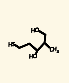 CC(CO)C(O)CCS